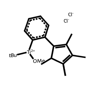 C[O][Ti+2]([c]1ccccc1C1=C(C)C(C)=C(C)C1C)[C](C)(C)C.[Cl-].[Cl-]